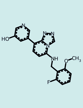 COc1cccc(F)c1CNc1ccc(-c2cncc(O)c2)c2nncn12